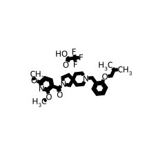 COc1ccc(C(=O)N2CCC3(CCN(Cc4ccccc4OCC(C)C)CC3)C2)c(OC)n1.O=C(O)C(F)(F)F